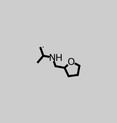 [CH2]C(C)NCC1CCCO1